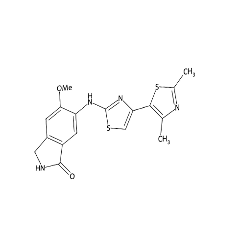 COc1cc2c(cc1Nc1nc(-c3sc(C)nc3C)cs1)C(=O)NC2